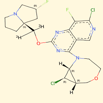 [2H]C([2H])(Oc1nc(N2CCOC[C@@H]3[C@@H](Cl)[C@@H]32)c2cnc(Cl)c(F)c2n1)[C@@]12CCCN1C[C@H](F)C2